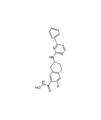 O=C(NO)c1cc2c(cc1F)CCC(Nc1nccc(-c3ccccc3)n1)C2